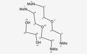 CNCCOCCNC.CNCCOCCNC.OCCO